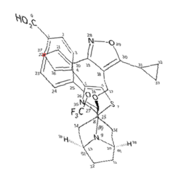 O=C(O)c1ccc(-c2csc(N3[C@@H]4CC[C@H]3C[C@@H](OCc3c(-c5ccccc5OC(F)(F)F)noc3C3CC3)C4)n2)cc1